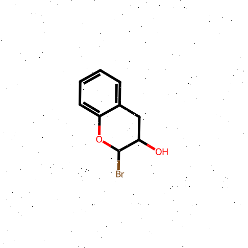 OC1Cc2ccccc2OC1Br